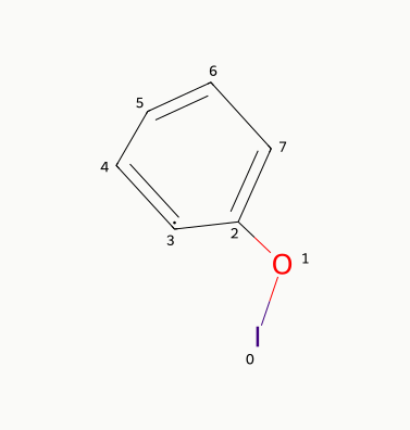 IOc1[c]cccc1